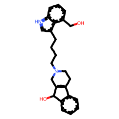 OCc1cccc2[nH]cc(CCCCN3CCC4=C(C3)C(O)c3ccccc34)c12